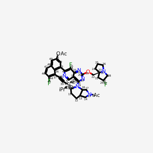 CC(=O)Oc1cc(-c2ncc3c(N4CCCC5CN(C(C)=O)CC54)nc(OC[C@@]45CCCN4C[C@H](F)C5)nc3c2F)c2c(C#C[Si](C(C)C)(C(C)C)C(C)C)c(F)ccc2c1